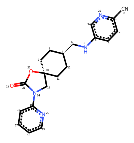 N#Cc1ccc(NC[C@H]2CC[C@]3(CC2)CN(c2ccccn2)C(=O)O3)cn1